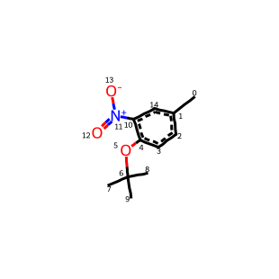 Cc1ccc(OC(C)(C)C)c([N+](=O)[O-])c1